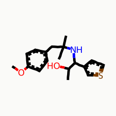 COc1ccc(CC(C)(C)NC(c2ccsc2)C(C)O)cc1